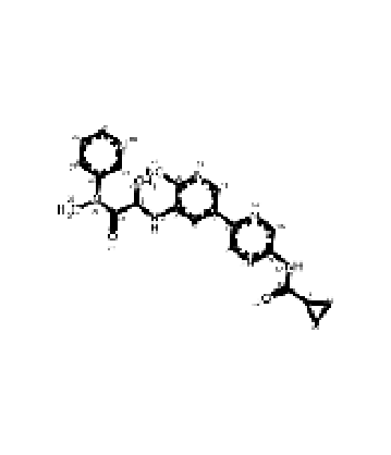 CC(Nc1cc(-c2cnc(NC(=O)C3CC3)cn2)cnc1C#N)C(=O)N(C)c1cccnc1